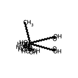 CCCCCCCCCCCCCCCCC(CCCCCCCCCCCCCCCCCC(=O)O)(CCCCCCCCCCCCCCCCCC(=O)O)C(=O)OC[C@@]1(O[C@H]2O[C@H](CO)[C@@H](O)[C@H](O)[C@H]2O)O[C@H](CO)[C@@H](O)[C@@H]1O